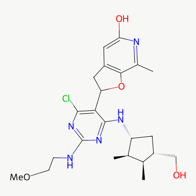 COCCNc1nc(Cl)c(C2Cc3cc(O)nc(C)c3O2)c(N[C@@H]2C[C@H](CO)[C@@H](C)[C@H]2C)n1